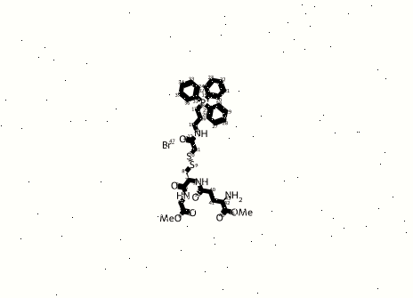 COC(=O)CNC(=O)[C@H](CSSCC(=O)NCCC[P+](c1ccccc1)(c1ccccc1)c1ccccc1)NC(=O)CC[C@H](N)C(=O)OC.[Br-]